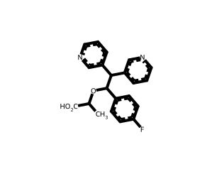 CC(OC(c1ccc(F)cc1)C(c1cccnc1)c1cccnc1)C(=O)O